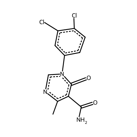 Cc1ncn(-c2ccc(Cl)c(Cl)c2)c(=O)c1C(N)=O